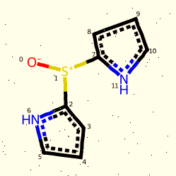 [O-][S+](c1ccc[nH]1)c1ccc[nH]1